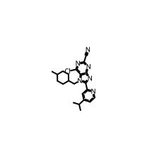 CC1CCC(Cn2c(-c3cc(C(C)C)ccn3)nc3nc(C#N)nc(Cl)c32)CC1